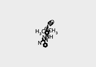 Cc1cc(Nc2ncc(C#N)c(-c3ccccc3)n2)cc(C)c1OCCN1CCOCC1